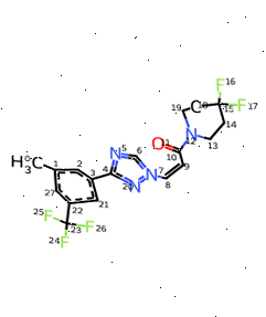 Cc1cc(-c2ncn(/C=C\C(=O)N3CCC(F)(F)CC3)n2)cc(C(F)(F)F)c1